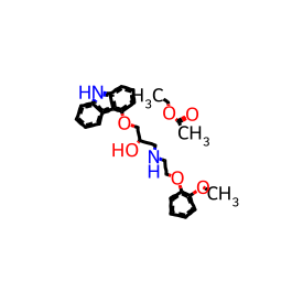 CCOC(C)=O.COc1ccccc1OCCNCC(O)COc1cccc2[nH]c3ccccc3c12